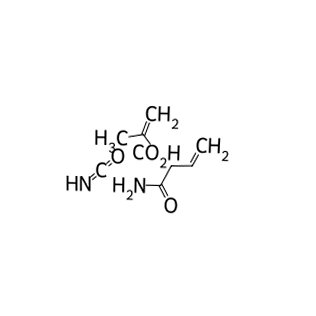 C=C(C)C(=O)O.C=CCC(N)=O.N=C=O